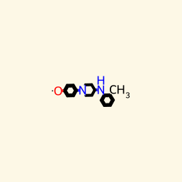 Cc1ccccc1NC1CCN(c2ccc([O])cc2)CC1